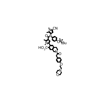 Cc1c(N(C(=O)c2cc(-c3cc4c(cc3C(=O)O)CN(C(=O)Cc3ccc(OCCN5CCOCC5)cc3)CC4)n(C)c2C)c2ccc(O[Si](C)(C)C(C)(C)C)cc2)cc(C#N)n1C